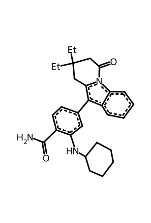 CCC1(CC)CC(=O)n2c(c(-c3ccc(C(N)=O)c(NC4CCCCC4)c3)c3ccccc32)C1